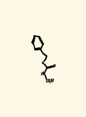 CCOC(=O)NC(=O)SCc1ccccc1